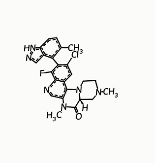 Cc1ccc2[nH]ncc2c1-c1c(Cl)cc2c3c(cnc2c1F)N(C)C(=O)[C@H]1CN(C)CCN31